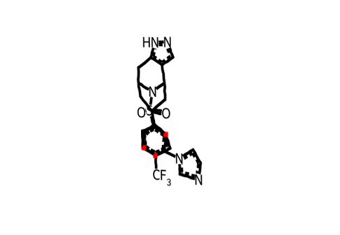 O=S(=O)(c1ccc(C(F)(F)F)cc1)N1C2Cc3[nH]ncc3C1CC(c1cccc(-n3ccnc3)c1)C2